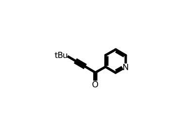 CC(C)(C)C#CC(=O)c1cccnc1